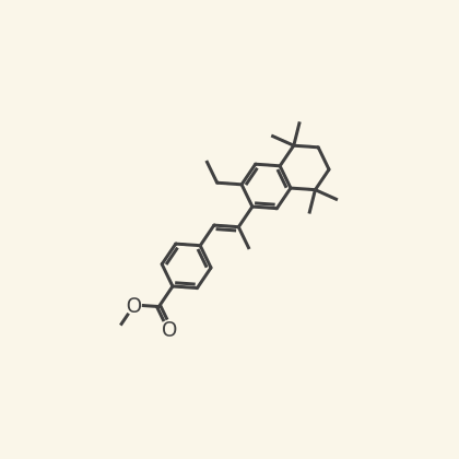 CCc1cc2c(cc1C(C)=Cc1ccc(C(=O)OC)cc1)C(C)(C)CCC2(C)C